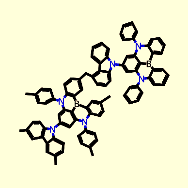 Cc1ccc(N2c3ccc(C)cc3B3c4cc(Cc5cccc6c5c5ccccc5n6-c5cc6c7c(c5)N(c5ccccc5)c5ccccc5B7c5ccccc5N6c5ccccc5)ccc4N(c4ccc(C)cc4)c4cc(-n5c6ccc(C)cc6c6cc(C)ccc65)cc2c43)cc1